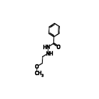 COCCNNC(=O)c1ccccc1